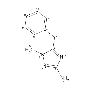 Cn1nc(N)nc1Cc1ccccc1